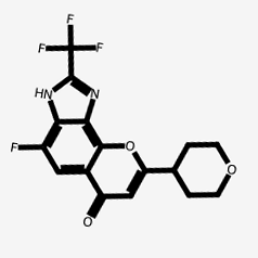 O=c1cc(C2CCOCC2)oc2c1cc(F)c1[nH]c(C(F)(F)F)nc12